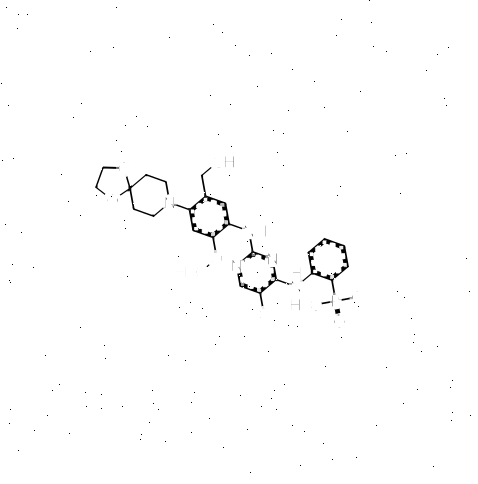 CCc1cc(Nc2ncc(Cl)c(Nc3ccccc3P(C)(C)=O)n2)c(OC)cc1N1CCC2(CC1)OCCO2